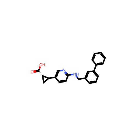 O=C(O)[C@H]1CC1c1ccc(NCc2cccc(-c3ccccc3)c2)nc1